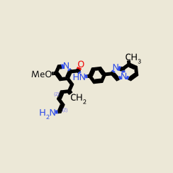 C=C(/C=C\C=C/N)Cc1cc(OC)cnc1C(=O)Nc1ccc(-c2cn3cccc(C)c3n2)cc1